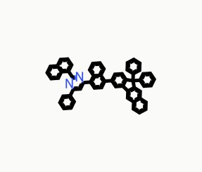 c1ccc(-c2cc(-c3ccc(-c4ccc5c(c4)-c4cc6ccccc6cc4C5(c4ccccc4)c4ccccc4)c4ccccc34)nc(-c3cccc4ccccc34)n2)cc1